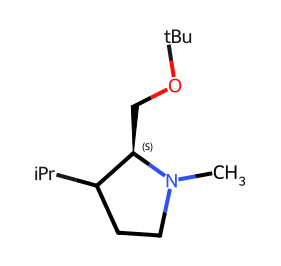 CC(C)C1CCN(C)[C@@H]1COC(C)(C)C